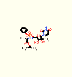 CC(C)OC(=O)[C@H](C)NP(=O)(OC[C@H]1O[C@@H](n2ccc(=O)[nH]c2=O)C(C)(O)[C@H]1O)Oc1ccccc1